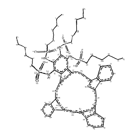 CCCCCCS(=O)(=O)Nc1c(NS(=O)(=O)CCCCCC)c(NS(=O)(=O)CCCCCC)c2c3nc4nc(nc5[nH]c(nc6nc(nc([nH]3)c2c1NS(=O)(=O)CCCCCC)-c1ccccc1-6)c1ccccc51)-c1ccccc1-4